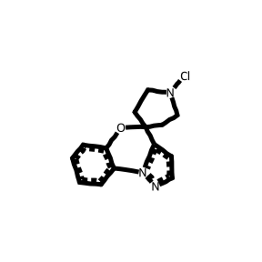 ClN1CCC2(CC1)Oc1ccccc1-n1nccc12